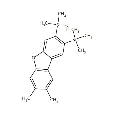 Cc1cc2oc3cc([Si](C)(C)C)c([Si](C)(C)C)cc3c2cc1C